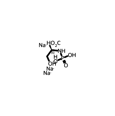 O=C(O)[C@H](CO)NP(=O)(O)O.[Na].[Na].[Na]